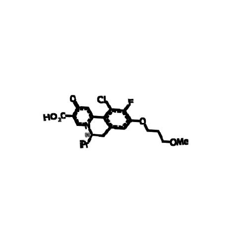 COCCCOc1cc2c(c(Cl)c1F)-c1cc(=O)c(C(=O)O)cn1[C@H](C(C)C)C2